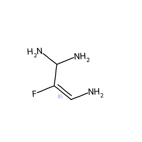 N/C=C(/F)C(N)N